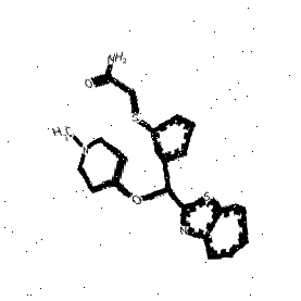 CN1CCC(OC(c2cccc(SCC(N)=O)c2)c2nc3ccccc3s2)CC1